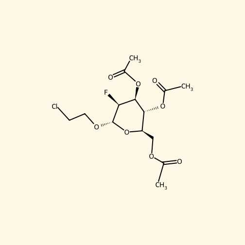 CC(=O)OC[C@H]1O[C@H](OCCCl)[C@@H](F)[C@@H](OC(C)=O)[C@@H]1OC(C)=O